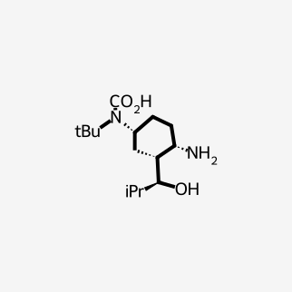 CC(C)[C@H](O)[C@@H]1C[C@H](N(C(=O)O)C(C)(C)C)CC[C@@H]1N